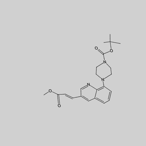 COC(=O)C=Cc1cnc2c(N3CCN(C(=O)OC(C)(C)C)CC3)cccc2c1